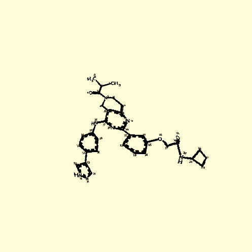 CC(C)C(=O)N1CCc2nc(-c3cccc(OCC(=O)NC4CCC4)c3)nc(Nc3ccc(-c4cn[nH]c4)cc3)c2C1